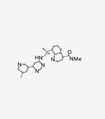 CNC(=O)c1ccnc2c([C@H](C)CNc3cc(-c4cncc(C)c4)ncn3)cccc12